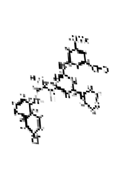 COc1cc(C=O)cc(Nc2nc(NC(C)CNc3ccnc4cc(Cl)ccc34)nc(N3CCOCC3)n2)c1